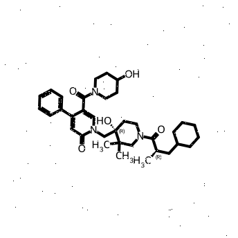 C[C@H](CC1CCCCC1)C(=O)N1CC[C@](O)(Cn2cc(C(=O)N3CCC(O)CC3)c(-c3ccccc3)cc2=O)C(C)(C)C1